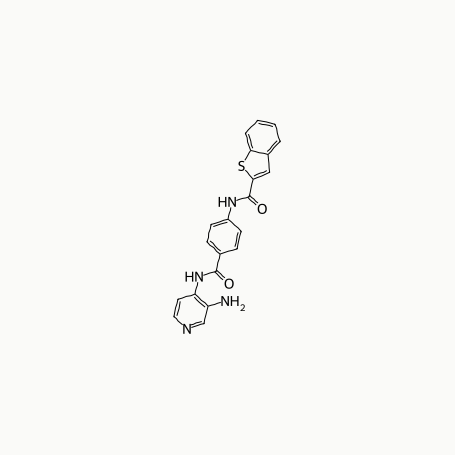 Nc1cnccc1NC(=O)c1ccc(NC(=O)c2cc3ccccc3s2)cc1